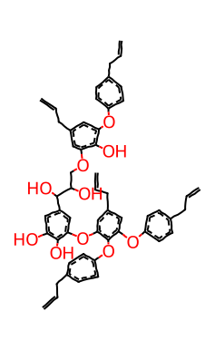 C=CCc1ccc(Oc2cc(CC=C)cc(OCC(O)C(O)c3cc(O)c(O)c(Oc4cc(CC=C)cc(Oc5ccc(CC=C)cc5)c4Oc4ccc(CC=C)cc4)c3)c2O)cc1